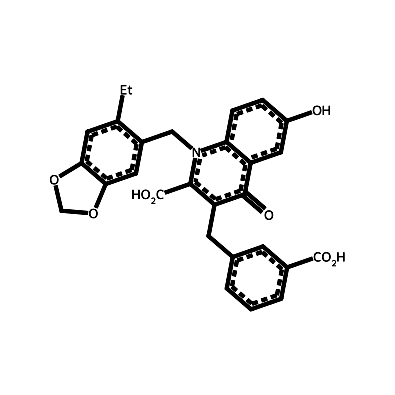 CCc1cc2c(cc1Cn1c(C(=O)O)c(Cc3cccc(C(=O)O)c3)c(=O)c3cc(O)ccc31)OCO2